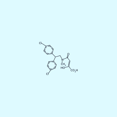 CN(CC(c1ccc(Cl)cc1)c1ccc(Cl)cc1)C(=O)/C=C(\O)C(=O)O